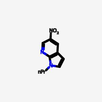 CCCn1ccc2cc([N+](=O)[O-])cnc21